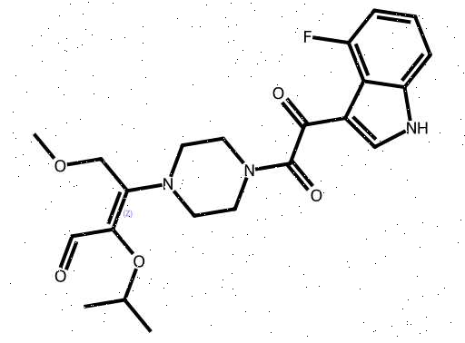 COC/C(=C(\C=O)OC(C)C)N1CCN(C(=O)C(=O)c2c[nH]c3cccc(F)c23)CC1